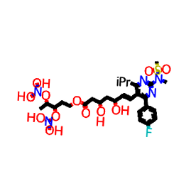 CC(C)c1nc(N(C)S(C)(=O)=O)nc(-c2ccc(F)cc2)c1/C=C/C(O)CC(O)CC(=O)OCCC(ON(O)O)C(C)ON(O)O